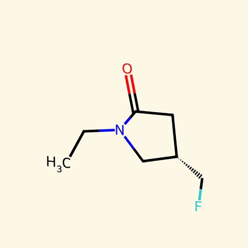 CCN1C[C@@H](CF)CC1=O